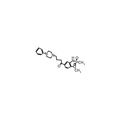 COc1ccc(C(=O)CCCN2CCN(c3ccccc3)CC2)cc1NS(C)(=O)=O